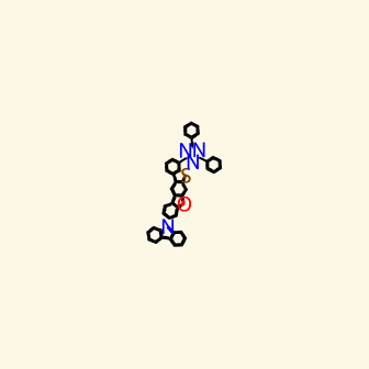 c1ccc(-c2nc(-c3ccccc3)nc(-c3cccc4c3sc3cc5oc6cc(-n7c8ccccc8c8ccccc87)ccc6c5cc34)n2)cc1